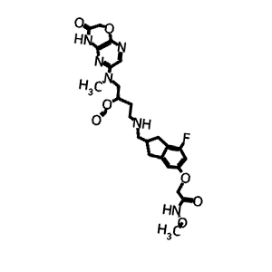 CONC(=O)COc1cc(F)c2c(c1)CC(CNCCC(CN(C)c1cnc3c(n1)NC(=O)CO3)OC=O)C2